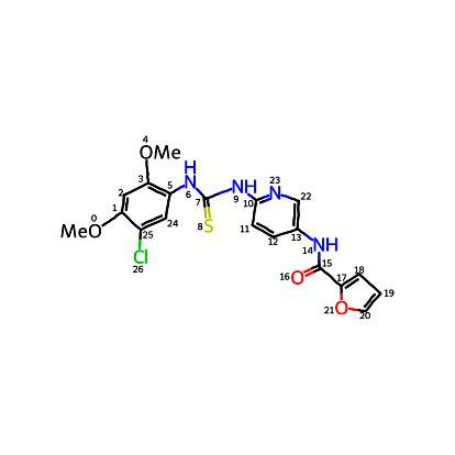 COc1cc(OC)c(NC(=S)Nc2ccc(NC(=O)c3ccco3)cn2)cc1Cl